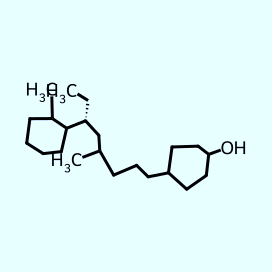 CC[C@H](CC(C)CCCC1CCC(O)CC1)C1CCCCC1C